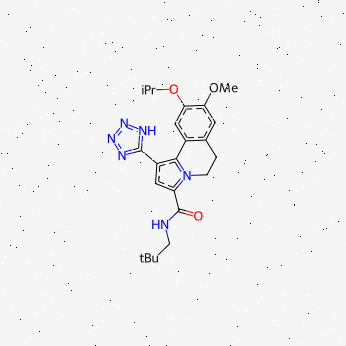 COc1cc2c(cc1OC(C)C)-c1c(-c3nnn[nH]3)cc(C(=O)NCC(C)(C)C)n1CC2